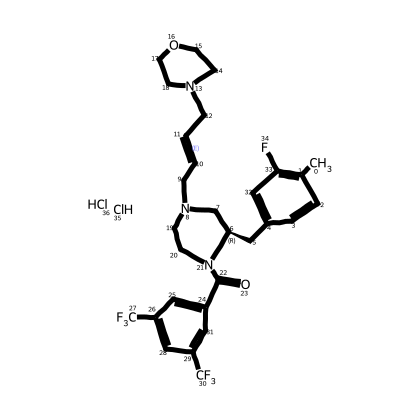 Cc1ccc(C[C@@H]2CN(C/C=C/CN3CCOCC3)CCN2C(=O)c2cc(C(F)(F)F)cc(C(F)(F)F)c2)cc1F.Cl.Cl